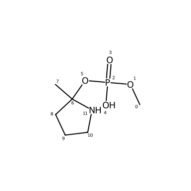 COP(=O)(O)OC1(C)CCCN1